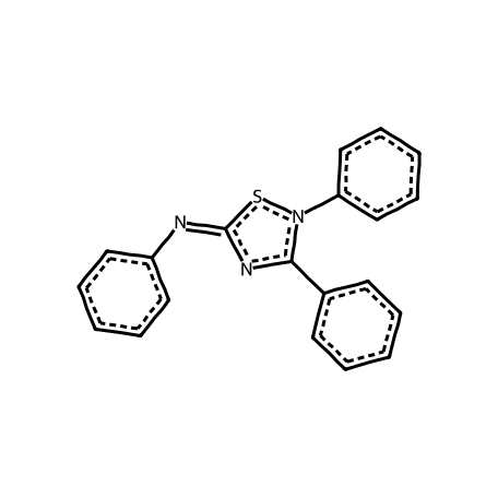 c1ccc(/N=c2\nc(-c3ccccc3)n(-c3ccccc3)s2)cc1